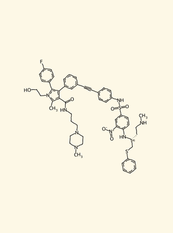 CNCC[C@H](CSc1ccccc1)Nc1ccc(S(=O)(=O)Nc2ccc(C#Cc3cccc(-c4c(C(=O)NCCCN5CCN(C)CC5)c(C)n(CCO)c4-c4ccc(F)cc4)c3)cc2)cc1[N+](=O)[O-]